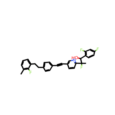 Cc1cccc(CCc2ccc(C#Cc3ccc(C(C)(F)C(O)c4ccc(F)cc4F)nc3)cc2)c1F